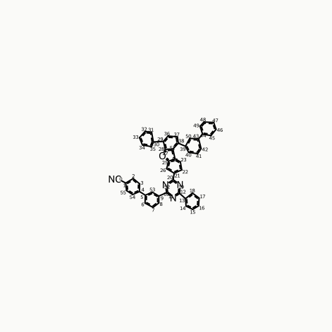 N#Cc1ccc(-c2cccc(-c3nc(-c4ccccc4)nc(-c4ccc5c(c4)oc4c(-c6ccccc6)ccc(-c6cccc(-c7ccccc7)c6)c45)n3)c2)cc1